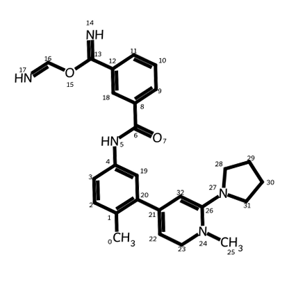 Cc1ccc(NC(=O)c2cccc(C(=N)OC=N)c2)cc1C1=CCN(C)C(N2CCCC2)=C1